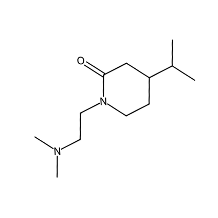 CC(C)C1CCN(CCN(C)C)C(=O)C1